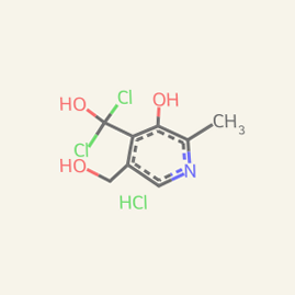 Cc1ncc(CO)c(C(O)(Cl)Cl)c1O.Cl